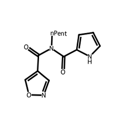 CCCCCN(C(=O)c1cnoc1)C(=O)c1ccc[nH]1